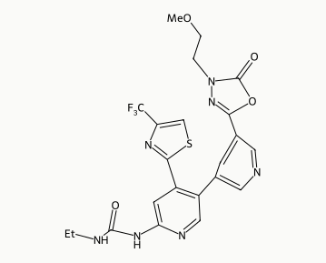 CCNC(=O)Nc1cc(-c2nc(C(F)(F)F)cs2)c(-c2cncc(-c3nn(CCOC)c(=O)o3)c2)cn1